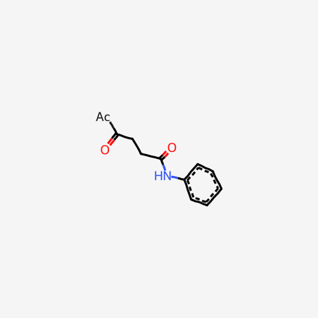 CC(=O)C(=O)CCC(=O)Nc1ccccc1